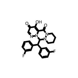 O=C1c2c(O)c(=O)cnn2C(C(c2cccc(F)c2)c2cccc(F)c2)N2CCCCN12